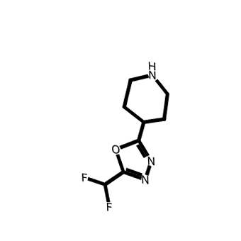 FC(F)c1nnc(C2CCNCC2)o1